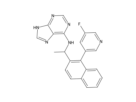 CC(Nc1ncnc2[nH]cnc12)c1ccc2ccccc2c1-c1cncc(F)c1